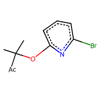 CC(=O)C(C)(C)Oc1cccc(Br)n1